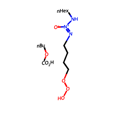 CCCCCCN[N+]([O-])=NCCCCOOO.CCCCOC(=O)O